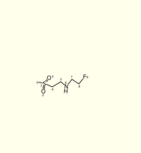 CS(=O)(=O)CCNCCF